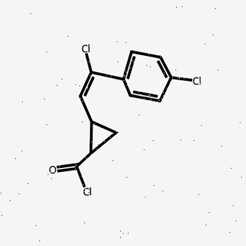 O=C(Cl)C1CC1/C=C(/Cl)c1ccc(Cl)cc1